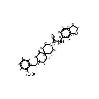 CC(C)COc1ccccc1CN1CCC2(CC1)CCN(C(=O)Nc1ccc3c(c1)OCC3)CC2